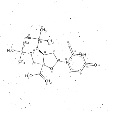 C=C(C)[C@]1(CO[Si](C)(C)C(C)(C)C)O[C@@H](n2ccc(=O)[nH]c2=O)C[C@@H]1O[Si](C)(C)C(C)(C)C